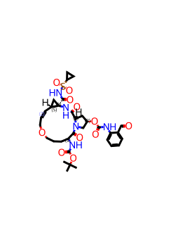 CC(C)(C)OC(=O)N[C@H]1CCCOC/C=C\[C@@H]2C[C@@]2(C(=O)NS(=O)(=O)C2CC2)NC(=O)[C@@H]2C[C@@H](OC(=O)Nc3ccccc3C=O)CN2C1=O